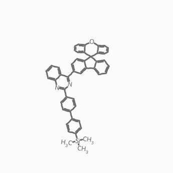 C[Si](C)(C)c1ccc(-c2ccc(-c3nc(-c4ccc5c(c4)-c4ccccc4C54c5ccccc5Oc5ccccc54)c4ccccc4n3)cc2)cc1